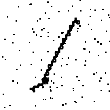 CC(=O)CCOCCOCCOCCOCCOCCOCCOCCOCc1cn(CCCCC(C)C)nn1